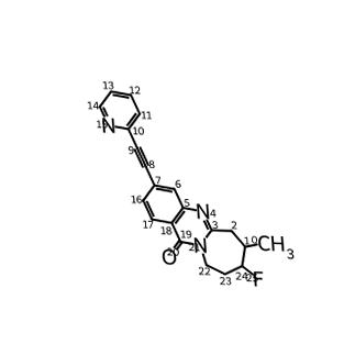 CC1Cc2nc3cc(C#Cc4ccccn4)ccc3c(=O)n2CCC1F